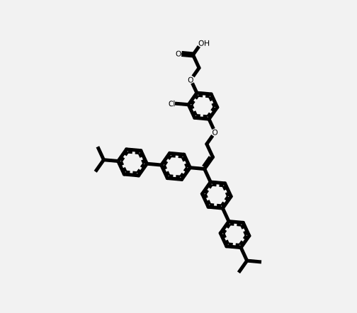 CC(C)c1ccc(-c2ccc(C(=CCOc3ccc(OCC(=O)O)c(Cl)c3)c3ccc(-c4ccc(C(C)C)cc4)cc3)cc2)cc1